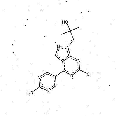 CC(C)(O)Cn1ncc2c(-c3cnc(N)nc3)nc(Cl)nc21